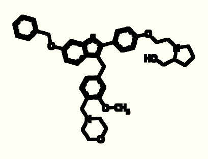 COc1cc(Cc2c(-c3ccc(OCCN4CCCC4CO)cc3)sc3cc(OCc4ccccc4)ccc23)ccc1CN1CCOCC1